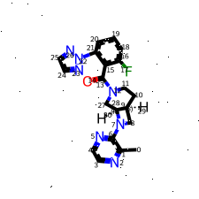 Cc1nccnc1N1C[C@@H]2CCN(C(=O)c3c(F)cccc3-n3nccn3)C[C@@H]21